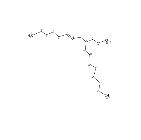 CCCCCC=CCC(CCC)CCCCCCCC